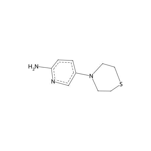 Nc1ccc(N2CCSCC2)cn1